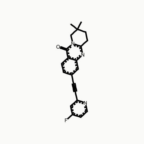 CC1(C)CCc2nc3cc(C#Cc4cc(F)ccn4)ccc3c(=O)n2C1